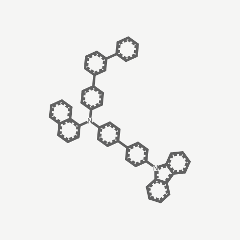 c1ccc(-c2cccc(-c3ccc(N(c4ccc(-c5ccc(-n6c7ccccc7c7ccccc76)cc5)cc4)c4cccc5ccccc45)cc3)c2)cc1